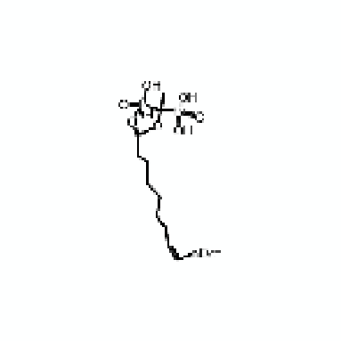 CCCCCCCC/C=C\CCCCCCC(=O)OC(C)(P(=O)(O)O)P(=O)(O)O